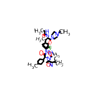 CCC(=O)N[C@@H](C(=O)N1CCN(C)CC1)[C@@H](C)c1ccc(NC(=O)[C@H](C2CCC(C)CC2)N(C=O)c2conc2C(C)C)c(F)c1